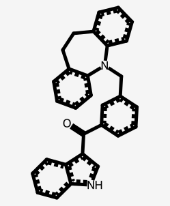 O=C(c1cccc(CN2c3ccccc3CCc3ccccc32)c1)c1c[nH]c2ccccc12